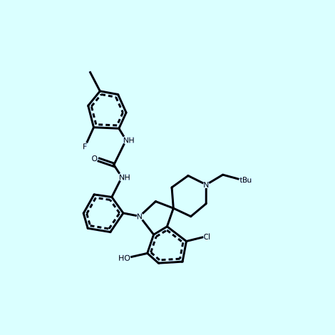 Cc1ccc(NC(=O)Nc2ccccc2N2CC3(CCN(CC(C)(C)C)CC3)c3c(Cl)ccc(O)c32)c(F)c1